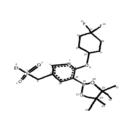 CCS(=O)(=O)Cc1cnc(OC2CCC(F)(F)CC2)c(B2OC(C)(C)C(C)(C)O2)c1